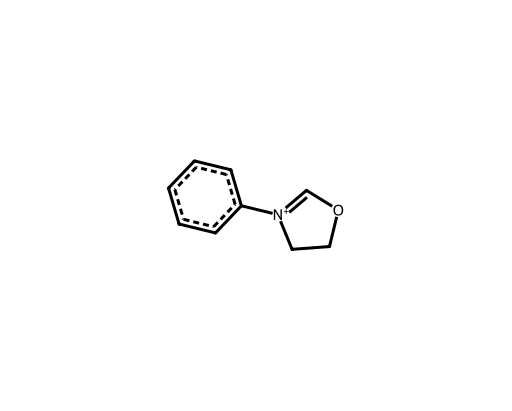 C1=[N+](c2ccccc2)CCO1